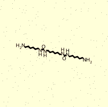 NCCCCCCNC(=O)NCCCCCCNC(=O)NCCCCCCN